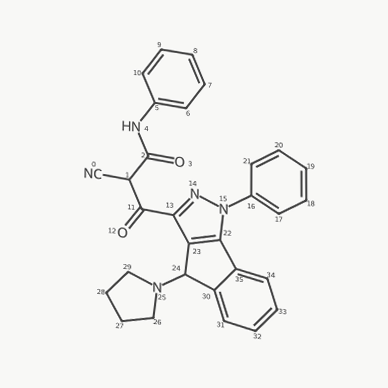 N#CC(C(=O)Nc1ccccc1)C(=O)c1nn(-c2ccccc2)c2c1C(N1CCCC1)c1ccccc1-2